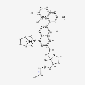 Oc1cc(-c2ncc3c(N4CC5CCC(C4)N5)nc(OCC45CCCN4CC(/C=C/F)C5)nc3c2F)c2c(F)c(F)ccc2c1